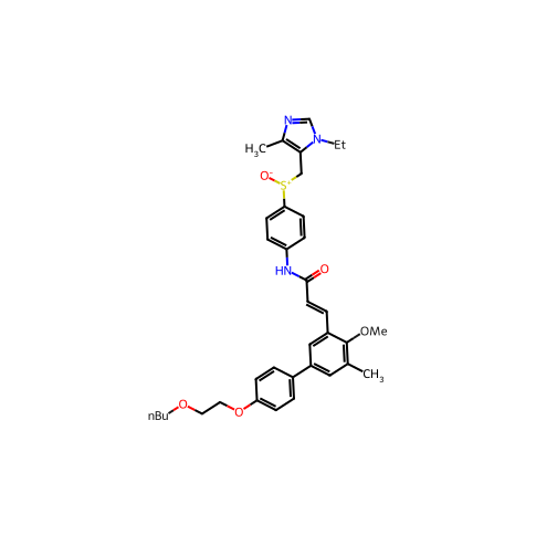 CCCCOCCOc1ccc(-c2cc(C)c(OC)c(/C=C/C(=O)Nc3ccc([S+]([O-])Cc4c(C)ncn4CC)cc3)c2)cc1